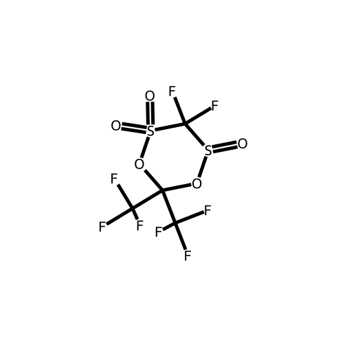 O=S1OC(C(F)(F)F)(C(F)(F)F)OS(=O)(=O)C1(F)F